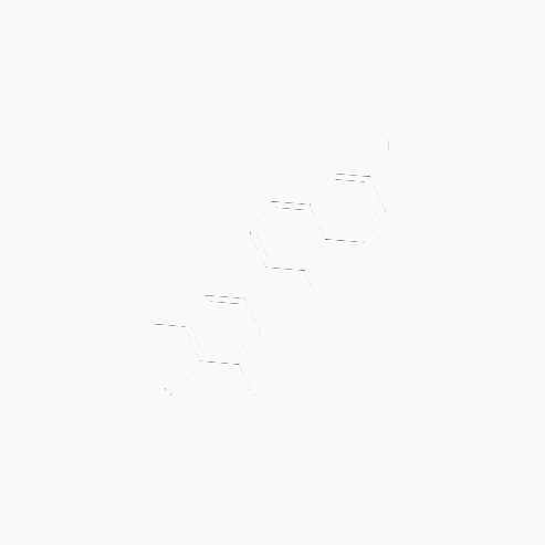 CCc1ccc2c(F)c(-c3cc(F)c(C#N)c(F)c3)ccc2c1